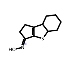 O/N=C1\CCC2=C1SC1CCCCC21